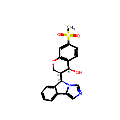 CS(=O)(=O)c1ccc2c(c1)OC[C@H]([C@@H]1c3ccccc3-c3cncn31)[C@@H]2O